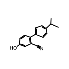 CC(C)c1ccc(-c2ccc(O)cc2C#N)cc1